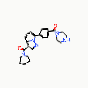 O=C(c1ccc(-c2cccc3c(C(=O)N4CCCCC4)cnn23)cc1)N1CCNCC1